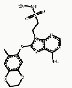 CC(C)(C)NS(=O)(=O)CCn1c(Sc2cc3c(cc2I)OCCO3)nc2c(N)ncnc21